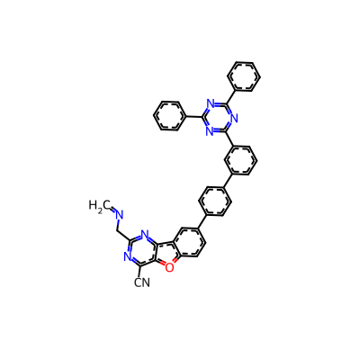 C=NCc1nc(C#N)c2oc3ccc(-c4ccc(-c5cccc(-c6nc(-c7ccccc7)nc(-c7ccccc7)n6)c5)cc4)cc3c2n1